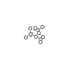 c1ccc(-c2cc(-c3ccccc3)nc(-c3ccc(-n4c5ccccc5c5cccc(-c6ccc7c8ncccc8n(-c8ccccc8)c7c6)c54)cc3)n2)cc1